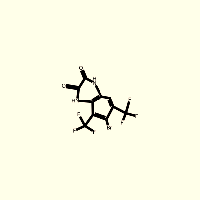 O=c1[nH]c2cc(C(F)(F)F)c(Br)c(C(F)(F)F)c2[nH]c1=O